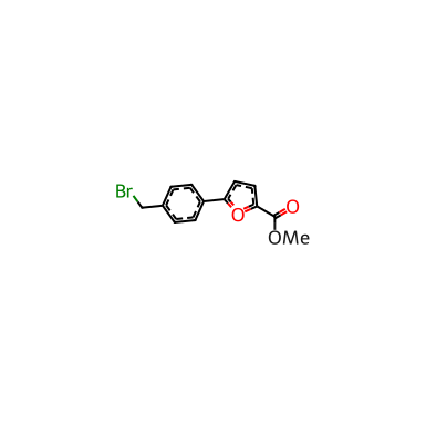 COC(=O)c1ccc(-c2ccc(CBr)cc2)o1